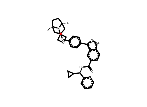 O=C(N[C@@H](c1ccccn1)C1CC1)c1ccc2[nH]nc(-c3ccc(OC4C[C@H]5CC[C@@H](C4)N5C4COC4)cc3)c2c1